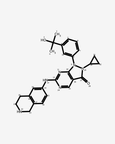 CC(C)(O)c1cccc(-n2c3nc(Nc4ccc5c(c4)CCNC5)ncc3c(=O)n2C2CC2)c1